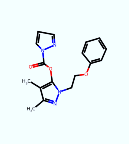 Cc1nn(CCOc2ccccc2)c(OC(=O)n2cccn2)c1C